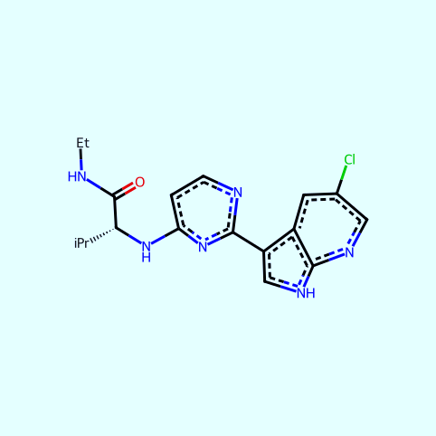 CCNC(=O)[C@H](Nc1ccnc(-c2c[nH]c3ncc(Cl)cc23)n1)C(C)C